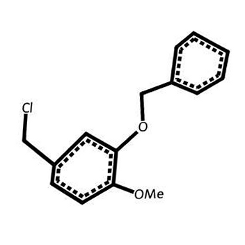 COc1ccc(CCl)cc1OCc1ccccc1